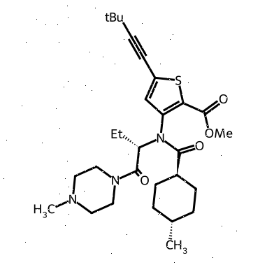 CC[C@@H](C(=O)N1CCN(C)CC1)N(c1cc(C#CC(C)(C)C)sc1C(=O)OC)C(=O)[C@H]1CC[C@H](C)CC1